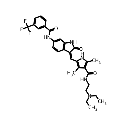 CCN(CC)CCNC(=O)c1c(C)[nH]c(/C=C2\C(=O)Nc3cc(NC(=O)c4cccc(C(F)(F)F)c4)ccc32)c1C